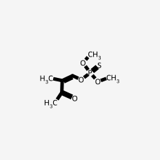 COP(=S)(OC)OC=C(C)C(C)=O